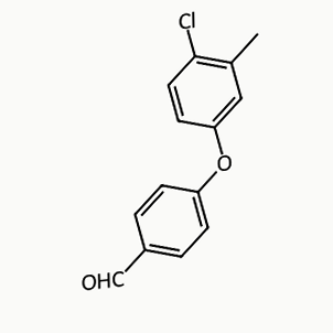 Cc1cc(Oc2ccc(C=O)cc2)ccc1Cl